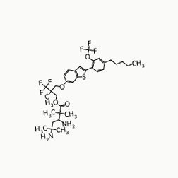 CCCCCc1ccc(-c2cc3ccc(OCC(C)(COC(=O)C(C)(C)C(N)CC(C)(C)N)C(F)(F)F)cc3s2)c(OC(F)(F)F)c1